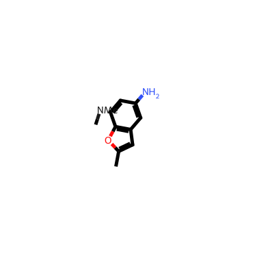 CNC.Cc1cc2cc(N)ccc2o1